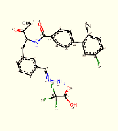 COC(=O)[C@H](Cc1cccc(C=NN)c1)NC(=O)c1ccc(-c2cc(F)ccc2C#N)cc1.O=C(O)C(F)(F)F